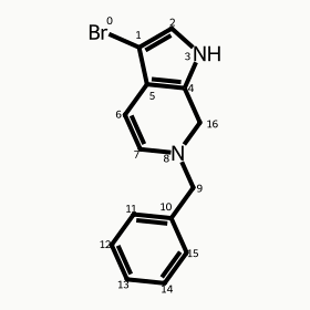 Brc1c[nH]c2c1C=CN(Cc1ccccc1)C2